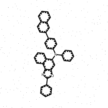 c1ccc(-c2nc3c(cc(N(c4ccccc4)c4ccc(-c5ccc6ccccc6c5)cc4)c4ccccc43)o2)cc1